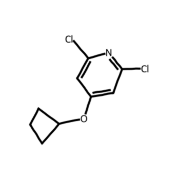 Clc1cc(OC2CCC2)cc(Cl)n1